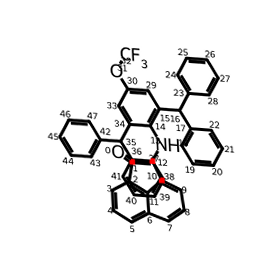 O=C1c2cccc3cccc(c23)C1Nc1c(C(c2ccccc2)c2ccccc2)cc(OC(F)(F)F)cc1C(c1ccccc1)c1ccccc1